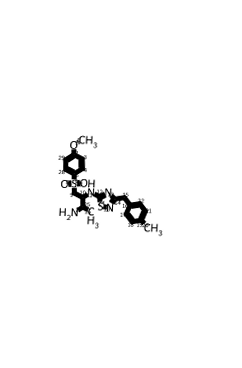 COc1ccc(S(=O)(=O)CC(Nc2nc(Cc3ccc(C)cc3)ns2)C(C)N)cc1